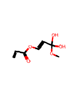 C=CC(=O)OC=CC(O)(O)OC